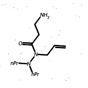 C=CCN(C(=O)CCN)N(CCC)CCC